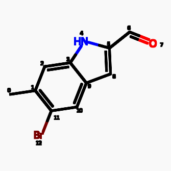 Cc1cc2[nH]c(C=O)cc2cc1Br